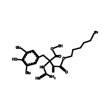 C=C(C(=O)OCCCCCC(C)C)C(Cc1cc(C(C)(C)C)c(O)c(C(C)(C)C)c1)(NC(=N)N)C(=O)OS